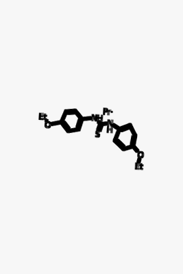 CCOc1ccc(NC(=S)Nc2ccc(OCC)cc2)cc1.[Pr]